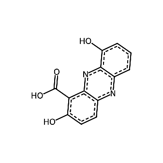 O=C(O)c1c(O)ccc2nc3cccc(O)c3nc12